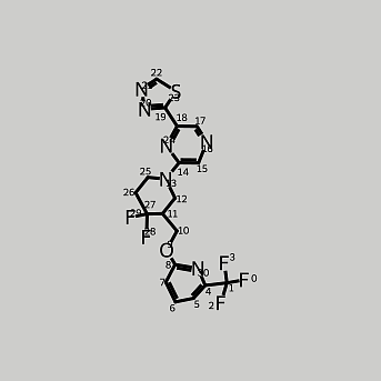 FC(F)(F)c1cccc(OCC2CN(c3cncc(-c4nncs4)n3)CCC2(F)F)n1